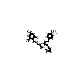 Cc1ccc(CCC2(Cn3ccnc3)OCC(COCc3c(Cl)cc(Cl)cc3Cl)O2)cc1